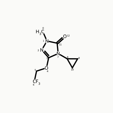 Cn1nc(OCC(F)(F)F)n(C2CC2)c1=O